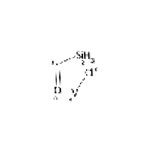 O=C[SiH3].[Cl][V]